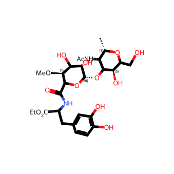 CCOC(=O)C(Cc1ccc(O)c(O)c1)NC(=O)C1O[C@@H](OC2C(NC(C)=O)[C@H](C)OC(CO)[C@H]2O)C(O)C(O)[C@@H]1OC